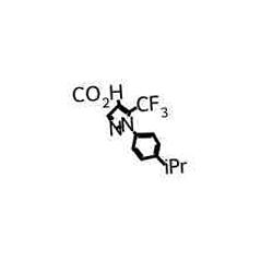 CC(C)c1ccc(-n2ncc(C(=O)O)c2C(F)(F)F)cc1